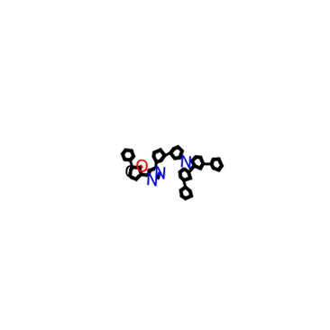 c1ccc(-c2ccc3c(c2)c2cc(-c4ccccc4)ccc2n3-c2cccc(-c3cccc(-c4ncnc5c4oc4c(-c6ccccc6)cccc45)c3)c2)cc1